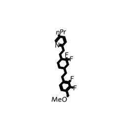 CCCc1ccc(CCC2CCC(CCc3ccc(COC)c(F)c3F)CC2(F)F)nc1